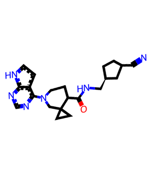 N#CC1CC[C@H](CNC(=O)C2CCN(c3ncnc4[nH]ccc34)CC23CC3)C1